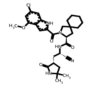 COc1cc(Cl)cc2[nH]c(C(=O)N3CC4(CCCCC4)C[C@H]3C(=O)N[C@H](C#N)C[C@@H]3CC(C)(C)NC3=O)cc12